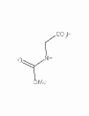 COC(=O)NCC(=O)O